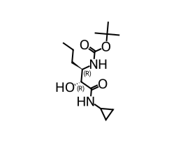 CCC[C@@H](NC(=O)OC(C)(C)C)[C@@H](O)C(=O)NC1CC1